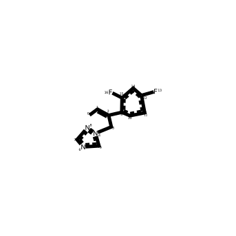 CC=C(Cn1cncn1)c1ccc(F)cc1F